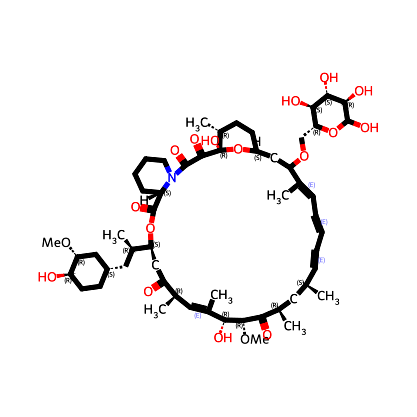 CO[C@@H]1C[C@H](C[C@@H](C)[C@@H]2CC(=O)[C@H](C)/C=C(\C)[C@@H](O)[C@@H](OC)C(=O)[C@H](C)C[C@H](C)/C=C/C=C/C=C(\C)C(OC[C@H]3OC(O)[C@H](O)[C@@H](O)[C@@H]3O)C[C@@H]3CC[C@@H](C)[C@@](O)(O3)C(=O)C(=O)N3CCCC[C@H]3C(=O)O2)CC[C@H]1O